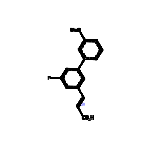 COc1cccc(-c2cc(F)cc(/C=C/C(=O)O)c2)c1